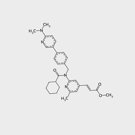 COC(=O)/C=C/c1cc(C)nc(N(Cc2ccc(-c3ccc(N(C)C)nc3)cc2)C(=O)C2CCCCC2)c1